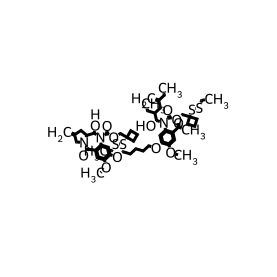 C=C(CC)CC(CC)C(O)N(C(=O)OCC1(SSCC)CCC1)c1cc(OCCCCCOc2cc3c(cc2OC)C(=O)N2CC(=C)CC2C(O)N3C(=O)OCC2(SSCC)CCC2)c(OC)cc1C(C)=O